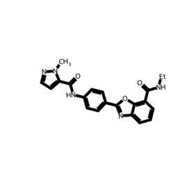 CCNC(=O)c1cccc2nc(-c3ccc(NC(=O)c4ccnn4C)cc3)oc12